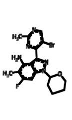 Cc1ncc(Br)c(-c2nn(C3CCCCO3)c3cc(F)c(C)c(N)c23)n1